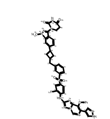 CC(C)Oc1c(-c2cn[nH]c2)ncn2nc(Nc3ccc(S(=O)(=O)c4cccc(CC5CC(c6ccc7c(N8CCC(=O)NC8=O)nn(C)c7c6)C5)c4)cc3F)nc12